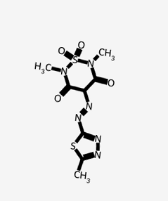 Cc1nnc(N=NC2C(=O)N(C)S(=O)(=O)N(C)C2=O)s1